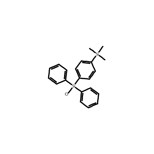 C[Si](C)(C)c1ccc([Si](Cl)(c2ccccc2)c2ccccc2)cc1